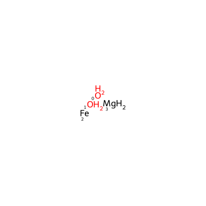 O.O.[Fe].[MgH2]